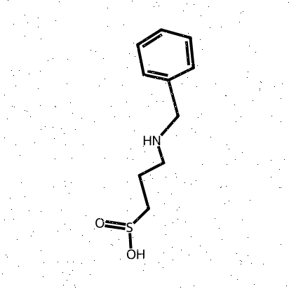 O=S(O)CCCNCc1ccccc1